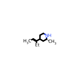 C/C=C(\CC)C1CCN[C@H](C)C1